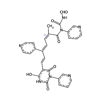 C/C(=C/C=C(C=Cc1c(O)[nH]c(=O)n(-c2cccnc2)c1=O)c1ccncc1)C(=O)N(C(=O)NC=O)c1cccnc1